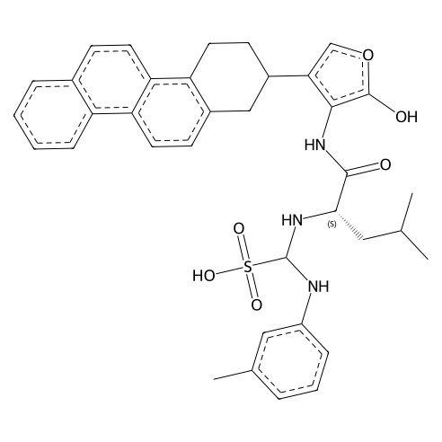 Cc1cccc(NC(N[C@@H](CC(C)C)C(=O)Nc2c(C3CCc4c(ccc5c4ccc4ccccc45)C3)coc2O)S(=O)(=O)O)c1